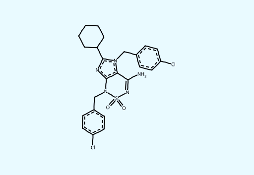 NC1=NS(=O)(=O)N(Cc2ccc(Cl)cc2)c2nc(C3CCCCC3)n(Cc3ccc(Cl)cc3)c21